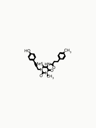 CSc1c(NC(=O)CCc2ccc(C)cc2)c(=O)n(C)c(=O)n1CC#Cc1ccc(O)cc1